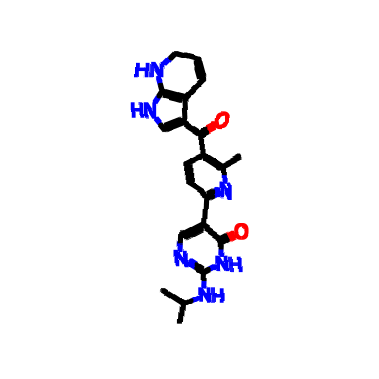 Cc1nc(-c2cnc(NC(C)C)[nH]c2=O)ccc1C(=O)c1c[nH]c2c1C=CCN2